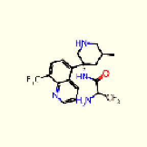 C[C@@H]1CNC[C@](NC(=O)C(N)C(F)(F)F)(c2ccc(C(F)(F)F)c3ncccc23)C1